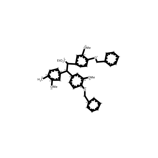 CCOC(=O)C(c1ccc(OCc2ccccc2)c(OC)c1)C(c1ccc(C)c(OC)c1)c1ccc(OCc2ccccc2)c(OC)c1